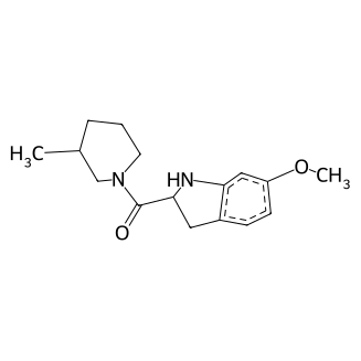 COc1ccc2c(c1)NC(C(=O)N1CCCC(C)C1)C2